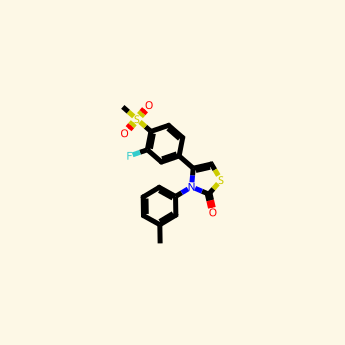 Cc1cccc(-n2c(-c3ccc(S(C)(=O)=O)c(F)c3)csc2=O)c1